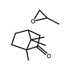 CC12CCC(CC1=O)C2(C)C.CC1CO1